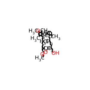 CC1=C(/C=C/C(C)=C/C=C/C(C)=C/CO)C(C)(C)CCC1.CCOC(=O)/C=C(C)/C=C/C=C(C)/C=C/c1c(C)cc(OC)c(C)c1C